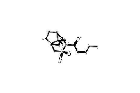 CC/C=C\C(=O)N1C2C[C@]3(CCC2C3(C)C)CS1(=O)=O